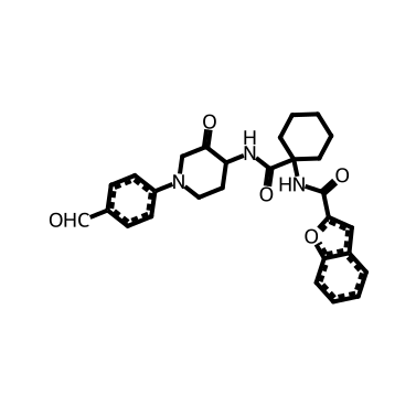 O=Cc1ccc(N2CCC(NC(=O)C3(NC(=O)c4cc5ccccc5o4)CCCCC3)C(=O)C2)cc1